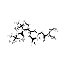 C=C(C)C[C@H](COCC(=O)N(C)OC)[C@@H]1COC(C)(C)N1C(=O)OC(C)(C)C